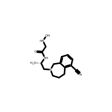 C[C@@H](CN1CCCc2c(C#N)cccc2C1)NC(=O)CNO